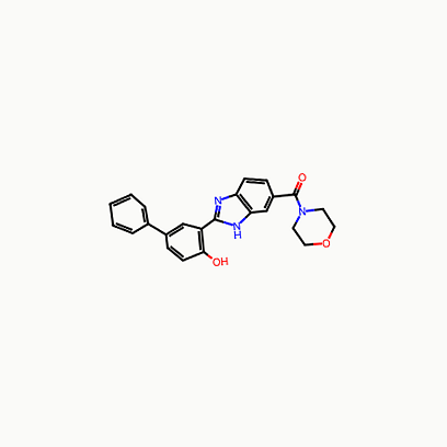 O=C(c1ccc2nc(-c3cc(-c4ccccc4)ccc3O)[nH]c2c1)N1CCOCC1